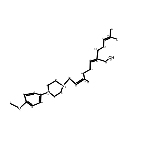 COc1ccc(N2CCN(CC=C(C)CCC=C(CO)CCC=C(C)C)CC2)cc1